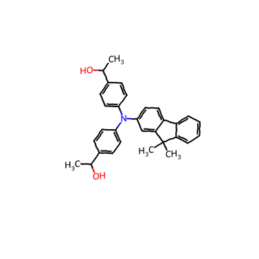 CC(O)c1ccc(N(c2ccc(C(C)O)cc2)c2ccc3c(c2)C(C)(C)c2ccccc2-3)cc1